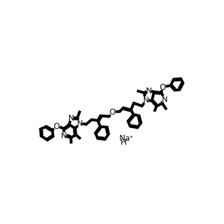 Cc1nc(Oc2ccccc2)c2nc(C)n(CCC(=CCOCC=C(CCn3c(C)nc4c(Oc5ccccc5)nc(C)c(C)c43)c3ccccc3)c3ccccc3)c2c1C.[H-].[Na+]